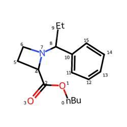 CCCCOC(=O)C1CCN1C(CC)c1ccccc1